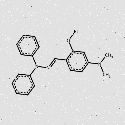 CCOc1cc(N(C)C)ccc1C=NN(c1ccccc1)c1ccccc1